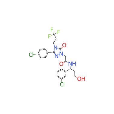 O=C(Cn1nc(-c2ccc(Cl)cc2)n(CCC(F)(F)F)c1=O)NC(CCO)c1cccc(Cl)c1